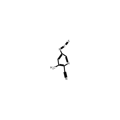 Cc1cc(N=C=S)cnc1C#N